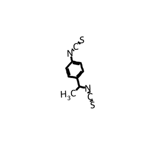 CC(N=C=S)c1ccc(N=C=S)cc1